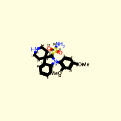 COc1ccc(N2c3ccccc3C3(CCNCC3)C2S(N)(=O)=O)c(OC)c1